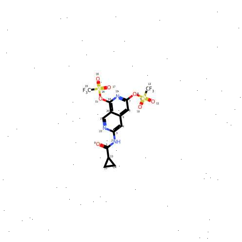 O=C(Nc1cc2cc(OS(=O)(=O)C(F)(F)F)nc(OS(=O)(=O)C(F)(F)F)c2cn1)C1CC1